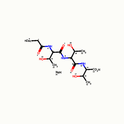 CCCCCCCCCCCC(=O)NC(C(=O)NC(C(=O)NC(C(=O)O)C(C)O)C(C)O)C(C)O.[NaH]